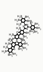 Bc1c(B)c(B)c(-c2nc(-c3c(B)c(B)c(B)c(B)c3B)nc(-c3c(B)c(B)c4c(oc5c(B)c(B)c(-n6c7c(B)c(B)c(B)c(B)c7c7c8sc9c(B)c(B)c(B)c(B)c9c8c(B)c(B)c76)c(B)c54)c3B)n2)c(B)c1B